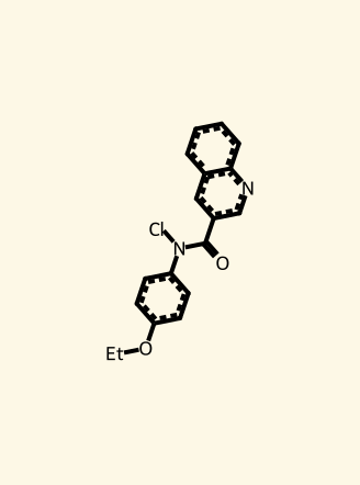 CCOc1ccc(N(Cl)C(=O)c2cnc3ccccc3c2)cc1